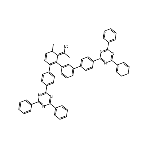 CC/C(C)=C1/C(c2cccc(-c3ccc(-c4nc(C5=CCCC=C5)nc(-c5ccccc5)n4)cc3)c2)=C(c2ccc(-c3nc(-c4ccccc4)nc(-c4ccccc4)n3)cc2)C=CC1C